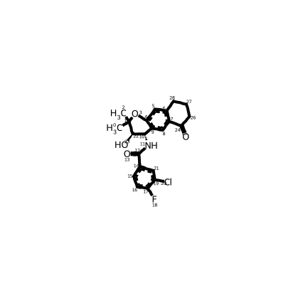 CC1(C)Oc2cc3c(cc2[C@H](NC(=O)c2ccc(F)c(Cl)c2)[C@H]1O)C(=O)CCC3